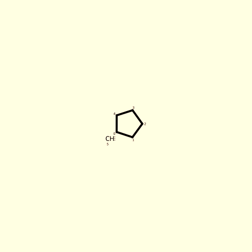 C1CCCC1.[CH]